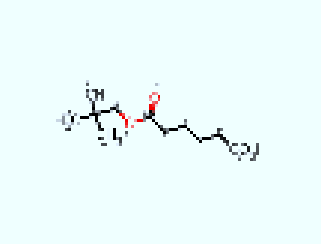 CC(C)(C#N)COC(=O)CCCCC(=O)O